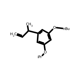 C=C[C](C)c1cc(OCCCC)cc(OC(C)C)c1